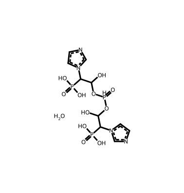 O.O=[PH](OC(O)C(n1ccnc1)P(=O)(O)O)OC(O)C(n1ccnc1)P(=O)(O)O